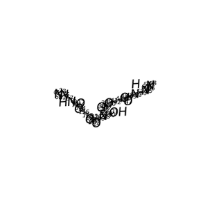 CN1CCN(CCCNCCC(=O)OCCCCCOC(C)(C)C(=O)CCN(CCCO)CCC(=O)C(C)(C)OCCCCCOC(=O)CCNCCCN2CCN(C)CC2)CC1